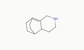 C1CC2C(=C3CCC2CC3)CN1